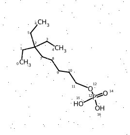 CCC(CC)(CC)CCCCCOP(=O)(O)O